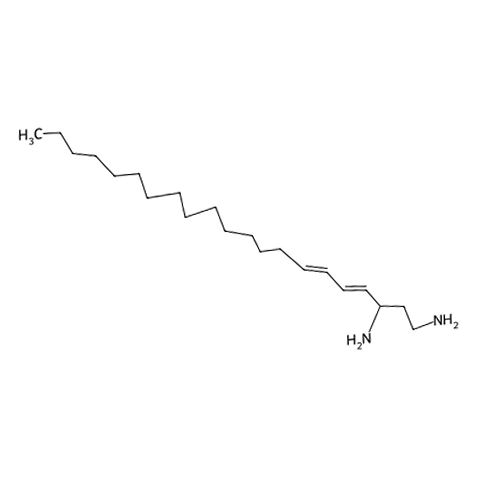 CCCCCCCCCCCCCCC=CC=CC(N)CCN